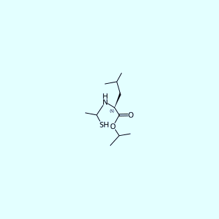 CC(C)C[C@H](NC(C)S)C(=O)OC(C)C